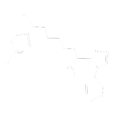 CCCCCC(CCCCCC1NCc2ccccc2-n2cnnc21)c1ccc(Cl)cc1